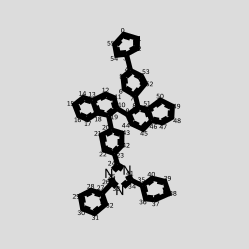 c1ccc(-c2ccc(-c3c(-c4ccc5ccccc5c4-c4ccc(-c5nc(-c6ccccc6)nc(-c6ccccc6)n5)cc4)ccc4ccccc34)cc2)cc1